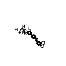 CCC(Oc1cccc(-c2ccc(OCc3ccc(Cl)c(Cl)c3)cc2)c1)O[SiH](C)C